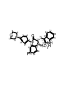 O=C(Nc1ccc(N2CCOCC2)cc1)[C@H](Cc1c[nH]c2ccccc12)N(c1ccc(F)cc1)S(=O)(=O)O